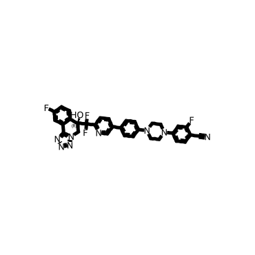 N#Cc1ccc(N2CCN(c3ccc(-c4ccc(C(F)(F)[C@]5(O)Cn6nnnc6-c6cc(F)ccc65)nc4)cc3)CC2)cc1F